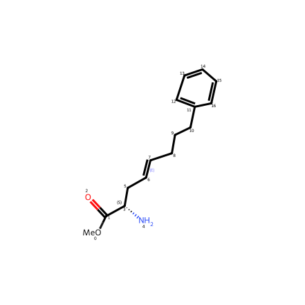 COC(=O)[C@@H](N)C/C=C/CCCc1ccccc1